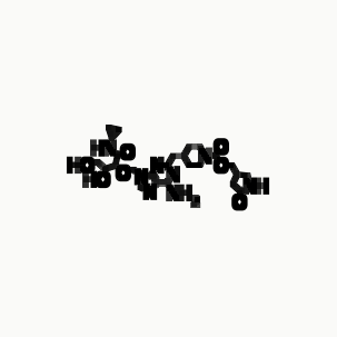 Nc1nc(CC2CCN(C(=O)OCC3CNC(=O)C3)CC2)nc2c1ncn2CO[C@H](C(=O)NC1CC1)C(O)CO